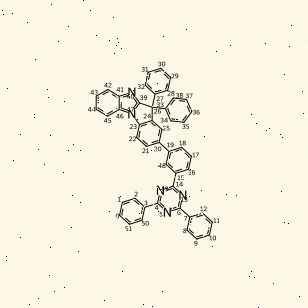 c1ccc(-c2nc(-c3ccccc3)nc(-c3cccc(-c4ccc5c(c4)C(c4ccccc4)(c4ccccc4)c4nc6ccccc6n4-5)c3)n2)cc1